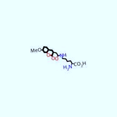 COc1ccc2cc(CC(=O)NCCCC[C@H](N)C(=O)O)c(=O)oc2c1